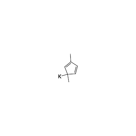 CC1=C[C](C)([K])C=C1